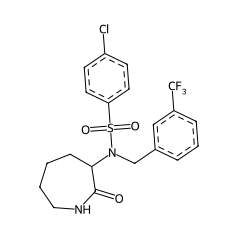 O=C1NCCCCC1N(Cc1cccc(C(F)(F)F)c1)S(=O)(=O)c1ccc(Cl)cc1